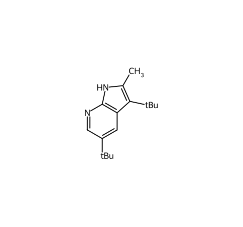 Cc1[nH]c2ncc(C(C)(C)C)cc2c1C(C)(C)C